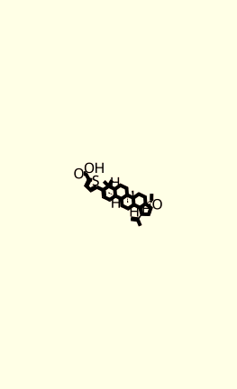 C=C(C)[C@@H]1CC[C@]2(C(C)=O)CC[C@]3(C)[C@H](CC[C@@H]4[C@@]5(C)CC=C(c6ccc(C(=O)O)s6)C(C)(C)[C@@H]5CC[C@]43C)[C@@H]12